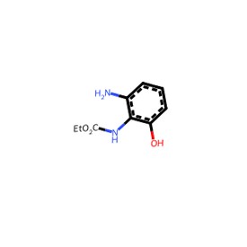 CCOC(=O)Nc1c(N)cccc1O